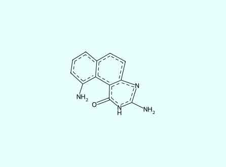 Nc1nc2ccc3cccc(N)c3c2c(=O)[nH]1